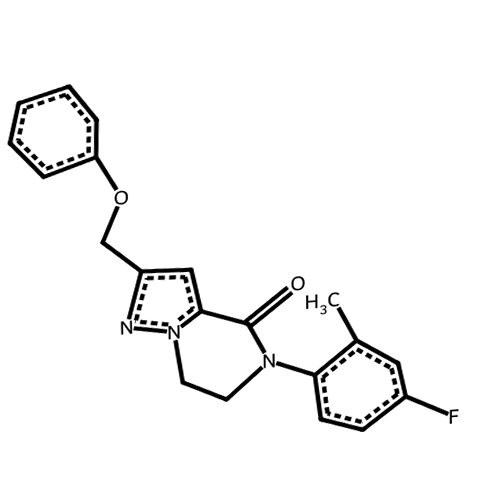 Cc1cc(F)ccc1N1CCn2nc(COc3ccccc3)cc2C1=O